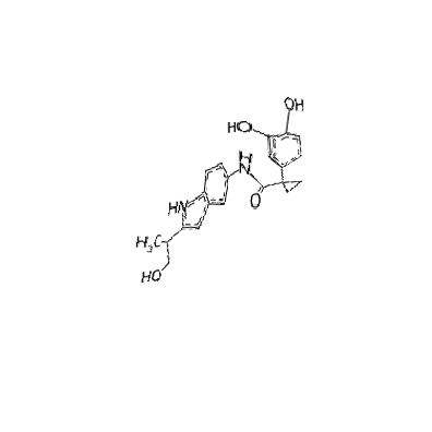 CC(CO)c1cc2cc(NC(=O)C3(c4ccc(O)c(O)c4)CC3)ccc2[nH]1